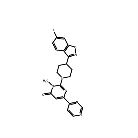 Cn1c(N2CCC(c3noc4cc(F)ccc34)CC2)nc(-c2ccncn2)cc1=O